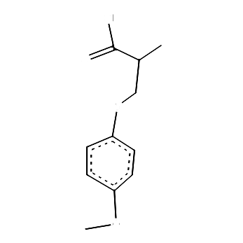 COc1ccc(SCC(C)C(=O)O)cc1